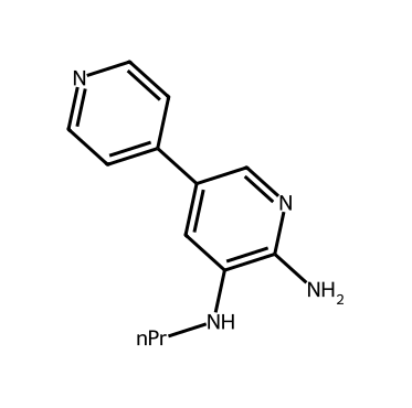 CCCNc1cc(-c2ccncc2)cnc1N